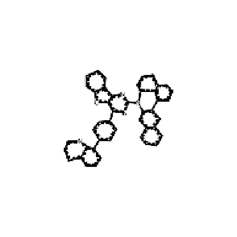 c1ccc2cc3c(cc2c1)-c1cccc2cccc(c12)N3c1nc(-c2ccc(-c3cccc4cccnc34)cc2)c2oc3ccccc3c2n1